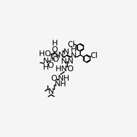 CCNC(=O)[C@H]1O[C@@H](n2cnc3c(NCC(c4cccc(Cl)c4)c4cccc(Cl)c4)nc(C(=O)NCCNC(=O)NCCN(C(C)C)C(C)C)nc32)[C@H](O)[C@@H]1O